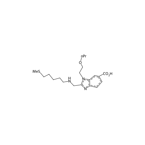 CCCOCCn1c(CNCCCCCSC)nc2ccc(C(=O)O)cc21